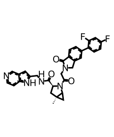 C[C@@]12CC1N(C(=O)CN1Cc3cc(-c4ccc(F)cc4F)ccc3C1=O)[C@H](C(=O)NCc1cc3cnccc3[nH]1)C2